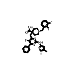 Cc1cc(Nc2nc(CC3(C(=O)O)CCN(Cc4cccc(Cl)c4F)CC3)c(F)c(-c3ccccc3)n2)n[nH]1